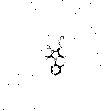 CCN1C(=O)N(c2ccccc2F)C(=O)/C1=N/SCl